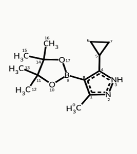 Cc1n[nH]c(C2CC2)c1B1OC(C)(C)C(C)(C)O1